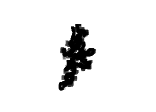 CC[C@H](Nc1c(N2CCC[C@@H]2c2nnc(C)n2Cc2ccc(Cl)cc2)c(=O)c1=O)c1ccc(C(F)(F)F)nc1